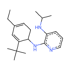 CCC1=CCC(Nc2ncccc2NC(C)C)C(C(C)(C)C)=C1